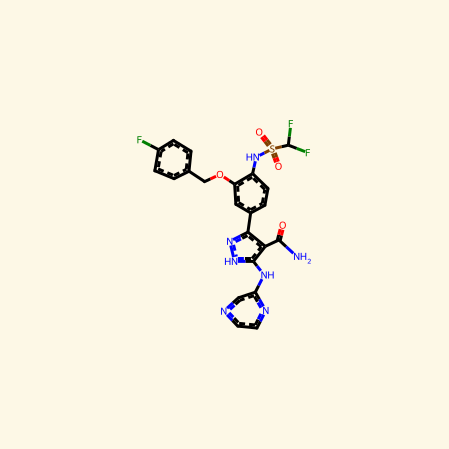 NC(=O)c1c(-c2ccc(NS(=O)(=O)C(F)F)c(OCc3ccc(F)cc3)c2)n[nH]c1Nc1cnccn1